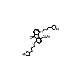 COc1ccc(OCCCC2CCNC2)c2c1-c1c(OCCCC3CCNC3)cccc1C2=O